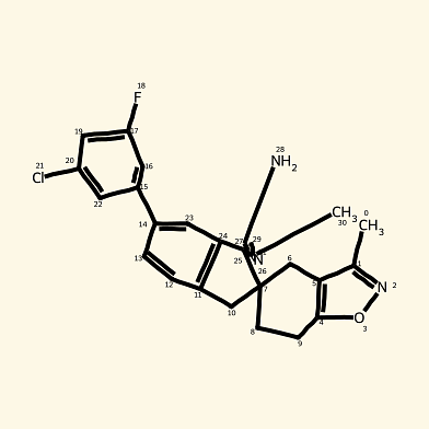 Cc1noc2c1CC1(CC2)Cc2ccc(-c3cc(F)cc(Cl)c3)cc2C12N=C(N)N(C)O2